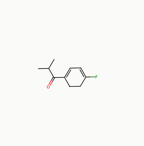 CC(C)C(=O)C1=CC=C(F)CC1